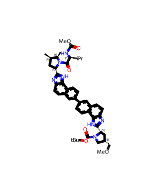 COC[C@H]1C[C@@H](c2nc3ccc4cc(-c5ccc6c(ccc7nc([C@@H]8C[C@@H](C)[C@@H](C)N8C(=O)[C@@H](NC(=O)OC)C(C)C)[nH]c76)c5)ccc4c3[nH]2)N(C(=O)OC(C)(C)C)C1